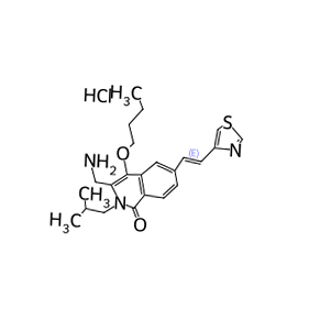 CCCCOc1c(CN)n(CC(C)C)c(=O)c2ccc(/C=C/c3cscn3)cc12.Cl